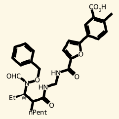 CCCCCC(C(=O)NCNC(=O)c1ccc(-c2ccc(C)c(C(=O)O)c2)o1)[C@@H](CC)N(C=O)OCc1ccccc1